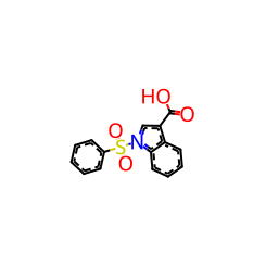 O=C(O)c1cn(S(=O)(=O)c2ccccc2)c2ccccc12